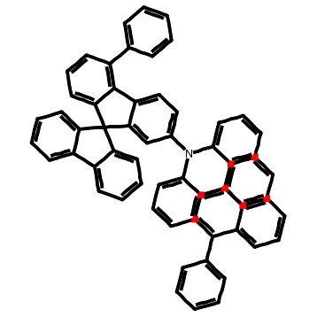 c1ccc(-c2ccccc2N(c2ccc3c(c2)C2(c4ccccc4-c4ccccc42)c2cccc(-c4ccccc4)c2-3)c2ccccc2-c2ccc(-c3ccccc3)c3ccccc23)cc1